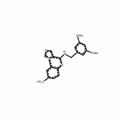 COc1cc(CNc2nc3ccc(C(=O)O)cc3n3cncc23)cc(OC)c1